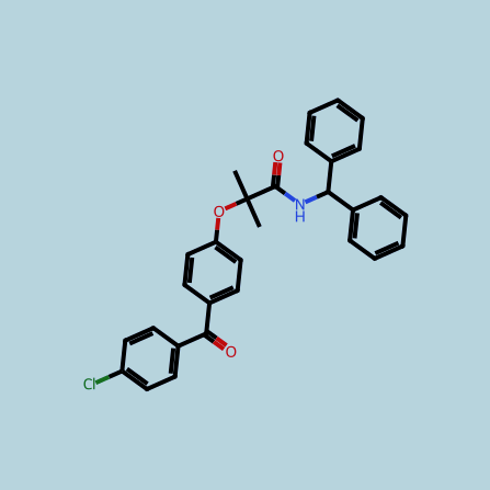 CC(C)(Oc1ccc(C(=O)c2ccc(Cl)cc2)cc1)C(=O)NC(c1ccccc1)c1ccccc1